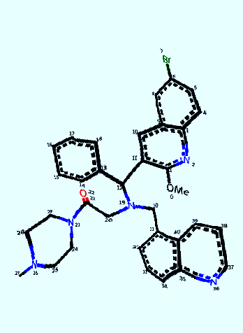 COc1nc2ccc(Br)cc2cc1C(c1ccccc1)N(CC(=O)N1CCN(C)CC1)Cc1cccc2ncccc12